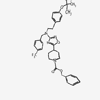 CC(C)(Oc1ccc(CCN(Cc2ccc(C(F)(F)F)cc2)c2noc(C3CCN(C(=O)OCc4ccccc4)CC3)n2)cc1)C(=O)O